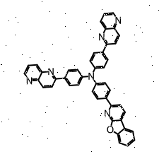 c1cnc2ccc(-c3ccc(N(c4ccc(-c5ccc6ncccc6n5)cc4)c4ccc(-c5ccc6c(n5)oc5ccccc56)cc4)cc3)nc2c1